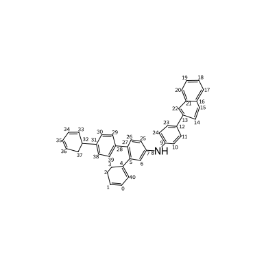 C1=CCCC(c2cc(Nc3ccc(-c4ccc5ccccc5c4)cc3)ccc2-c2ccc(C3C=CC=CC3)cc2)=C1